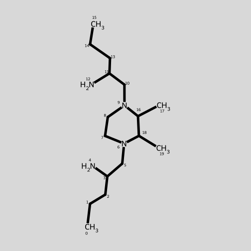 CCCC(N)CN1CCN(CC(N)CCC)C(C)C1C